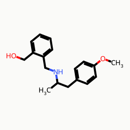 COc1ccc(CC(C)NCc2ccccc2CO)cc1